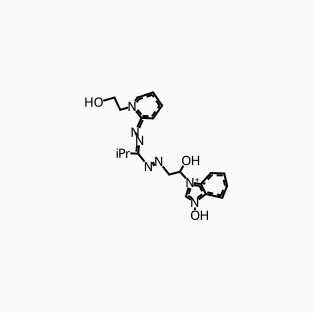 CC(C)C(N=NCC(O)[n+]1cn(O)c2ccccc21)=NN=c1ccccn1CCO